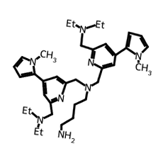 CCN(CC)Cc1cc(-c2cccn2C)cc(CN(CCCCN)Cc2cc(-c3cccn3C)cc(CN(CC)CC)n2)n1